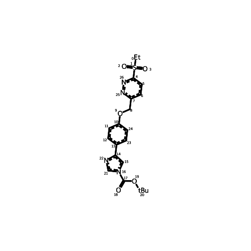 CCS(=O)(=O)c1ccc(COc2ccc(-c3cn(C(=O)OC(C)(C)C)cn3)cc2)nn1